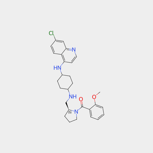 COc1ccccc1C(=O)N1CCC[C@H]1CNC1CCC(Nc2ccnc3cc(Cl)ccc23)CC1